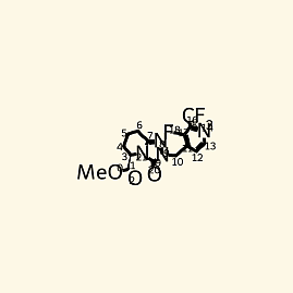 COC(=O)[C@H]1CCCc2nn(Cc3ccnc(C(F)(F)F)c3F)c(=O)n21